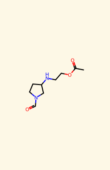 CC(=O)OCCNC1CCN(C=O)C1